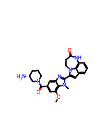 COc1cc(C(=O)N2CCC[C@@H](N)C2)cc2nc(-c3cc4cccc5c4n3CCC(=O)N5)n(C)c12